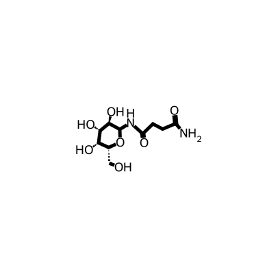 NC(=O)CCC(=O)NC1O[C@H](CO)[C@H](O)[C@H](O)[C@H]1O